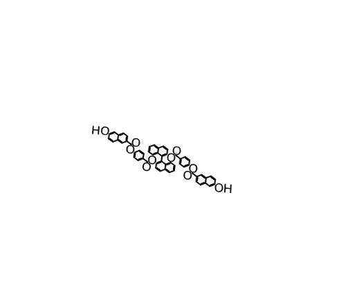 O=C(Oc1ccc(C(=O)Oc2ccc3ccccc3c2-c2c(OC(=O)c3ccc(OC(=O)c4ccc5cc(O)ccc5c4)cc3)ccc3ccccc23)cc1)c1ccc2cc(O)ccc2c1